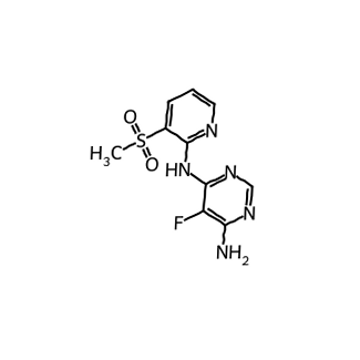 CS(=O)(=O)c1cccnc1Nc1ncnc(N)c1F